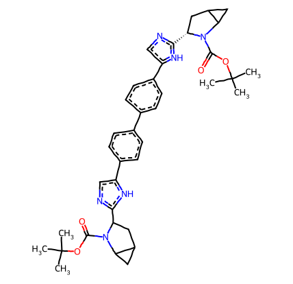 CC(C)(C)OC(=O)N1C(c2ncc(-c3ccc(-c4ccc(-c5cnc([C@@H]6CC7CC7N6C(=O)OC(C)(C)C)[nH]5)cc4)cc3)[nH]2)CC2CC21